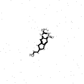 Nc1nc2cc3c(cc2[n+]([O-])n1)CC(CCO)C3